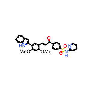 COc1cc(OC)c(-c2cc3ccccc3[nH]2)cc1/C=C/C(=O)c1ccc(S(=O)(=O)Nc2ccccn2)cc1